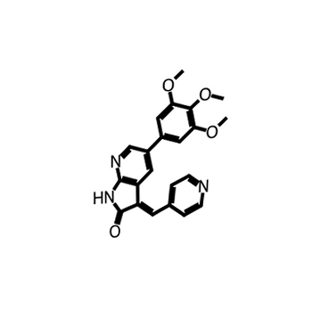 COc1cc(-c2cnc3c(c2)/C(=C\c2ccncc2)C(=O)N3)cc(OC)c1OC